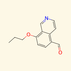 CCCOc1ccc(C=O)c2ccncc12